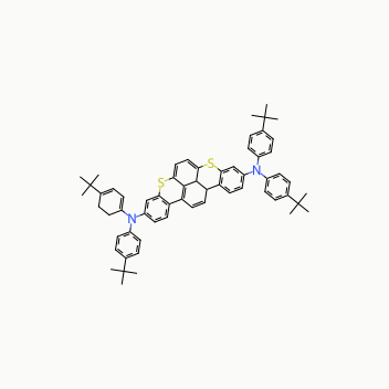 CC(C)(C)C1=CC=C(N(c2ccc(C(C)(C)C)cc2)c2ccc3c(c2)SC2=CC=C4Sc5cc(N(c6ccc(C(C)(C)C)cc6)c6ccc(C(C)(C)C)cc6)ccc5C5C=CC3=C2C45)CC1